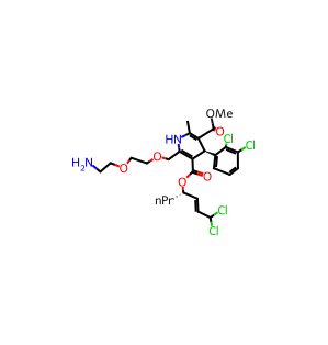 CCC[C@@H](C=CC(Cl)Cl)OC(=O)C1=C(COCCOCCN)NC(C)=C(C(=O)OC)[C@H]1c1cccc(Cl)c1Cl